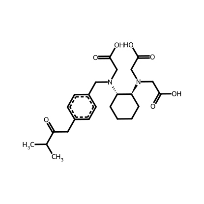 CC(C)C(=O)Cc1ccc(CN(CC(=O)O)[C@H]2CCCC[C@@H]2N(CC(=O)O)CC(=O)O)cc1